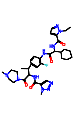 CCn1nccc1C(=O)NC(C(=O)Nc1ccc(C(C)C(NC(=O)c2cnnn2C)C(=O)N2CCN(C)CC2)cc1F)C1CCCCC1